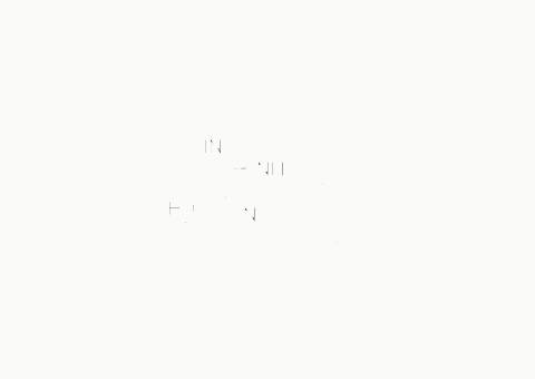 C=C1N=C(c2ccccc2)NC1=N